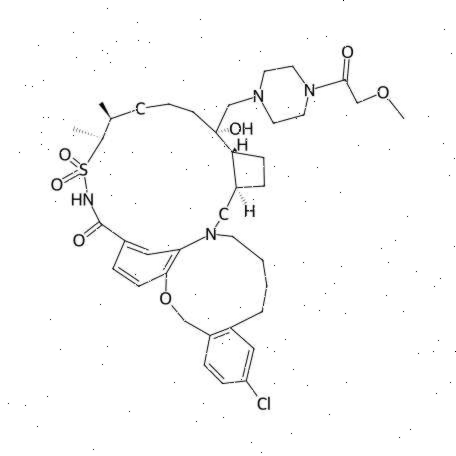 COCC(=O)N1CCN(C[C@]2(O)CCC[C@H](C)[C@@H](C)S(=O)(=O)NC(=O)c3ccc4c(c3)N(CCCCc3cc(Cl)ccc3CO4)C[C@@H]3CC[C@H]32)CC1